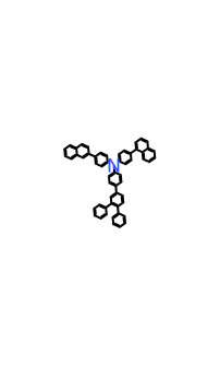 c1ccc(-c2ccc(-c3ccc(N(c4ccc(-c5ccc6ccccc6c5)cc4)c4ccc(-c5cccc6ccccc56)cc4)cc3)cc2-c2ccccc2)cc1